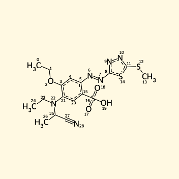 CCOc1cc(N=Nc2nnc(SC)s2)c(S(=O)(=O)O)cc1N(CC)C(C)C#N